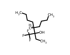 CCCCC(C)(CCCC)C(O)(CC)C(F)(F)F